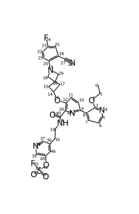 CCOc1ncccc1-c1ccc(OC2CC3(C2)CN(c2ccc(F)cc2C#N)C3)c(C(=O)NCCc2cncc(OS(=O)(=O)F)c2)n1